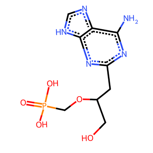 Nc1nc(CC(CO)OCP(=O)(O)O)nc2[nH]cnc12